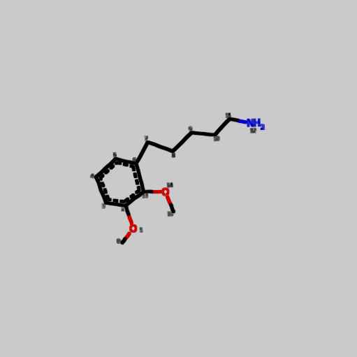 COc1cccc(CCCCCN)c1OC